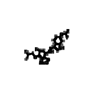 COOc1nc(OCC(F)F)c(F)cc1NSc1c[nH]c2cc(OC(F)F)ccc12